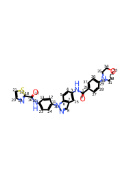 O=C(Nc1ccc2c(cnn2-c2ccc(NC(=O)c3nccs3)cc2)c1)c1ccc(N2CCOCC2)cc1